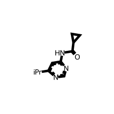 CC(C)c1cc(NC(=O)C2CC2)ncn1